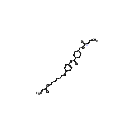 C=C/C=C(\CC)OCC1CCC(C(=O)Oc2ccc(OCCCCCCOC(=O)C=C)cc2)CC1